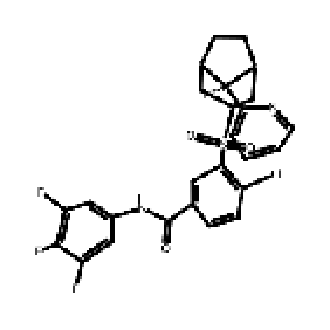 O=C(Nc1cc(F)c(F)c(F)c1)c1ccc(Cl)c(S(=O)(=O)C2CC3CCC(C2)C3(O)c2ccccn2)c1